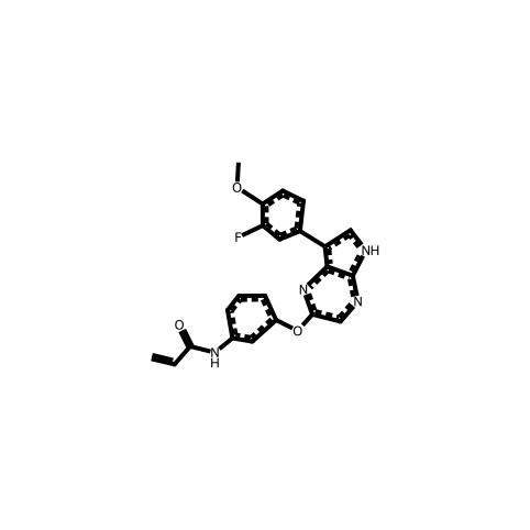 C=CC(=O)Nc1cccc(Oc2cnc3[nH]cc(-c4ccc(OC)c(F)c4)c3n2)c1